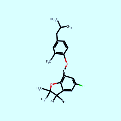 [2H]C1([2H])c2cc(Cl)cc(COc3ccc(CC(C)C(=O)O)cc3C(F)(F)F)c2OC1(C)C